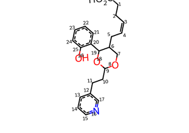 O=C(O)CC/C=C\CC1COC(CCc2cccnc2)OC1c1ccccc1O